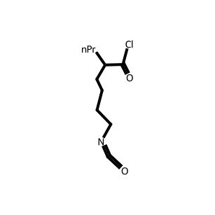 CCCC(CCCCN=C=O)C(=O)Cl